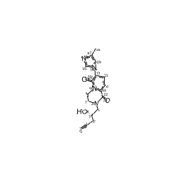 C#CC[C@H](O)CN1CCn2c(ccc(-n3cnc(C)c3)c2=O)C1=O